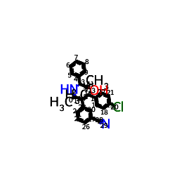 CC(N[C@@H](c1ccccc1)C(C)(C)O)C(Cc1ccc(Cl)cc1)c1cccc(C#N)c1